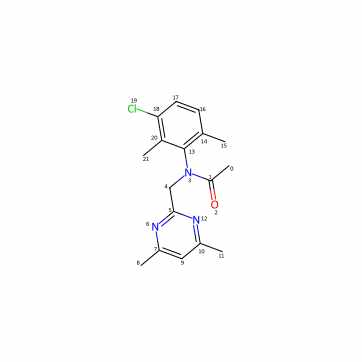 CC(=O)N(Cc1nc(C)cc(C)n1)c1c(C)ccc(Cl)c1C